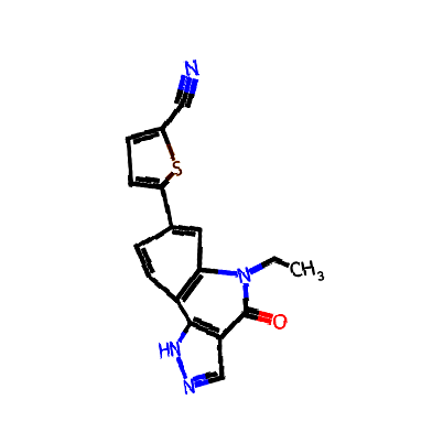 CCn1c(=O)c2cn[nH]c2c2ccc(-c3ccc(C#N)s3)cc21